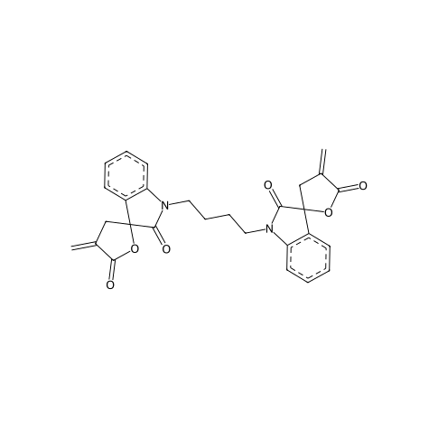 C=C1CC2(OC1=O)C(=O)N(CCCCN1C(=O)C3(CC(=C)C(=O)O3)c3ccccc31)c1ccccc12